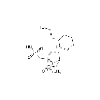 CC1(C)C2CCC1(CS(=O)(=O)O)C(=O)C2.OCC[C@@H]1CCCCN1